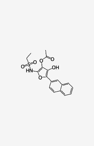 CCS(=O)(=O)Nc1oc(-c2ccc3ccccc3c2)c(O)c1OC(C)=O